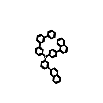 c1ccc(-c2cccc(-c3cccc(N(c4ccc(-c5cccc6ccccc56)cc4)c4cccc(-c5ccc6ccccc6c5)c4)c3)c2)cc1